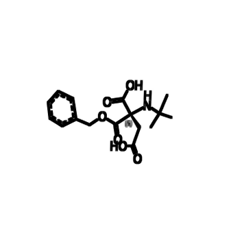 CC(C)(C)N[C@@](CC(=O)O)(C(=O)O)C(=O)OCc1ccccc1